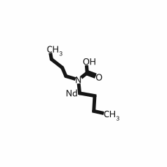 CCCCN(CCCC)C(=O)O.[Nd]